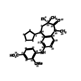 CC[C@@]1(C)CN(C2CCCC2)c2nc(Nc3ccc(C(=O)O)cc3OC)ncc2N(C)C1=O